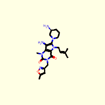 CC(C)=CCn1c(N2CCC[C@H](N)C2)c(N)c2c1c(=O)n(Cc1cc(C)on1)c(=O)n2C